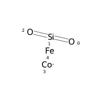 O=[Si]=O.[Co].[Fe]